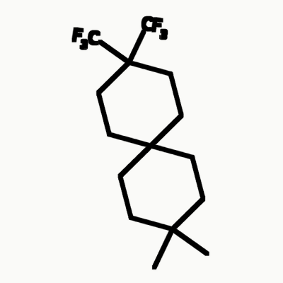 CC1(C)CCC2(CC1)CCC(C(F)(F)F)(C(F)(F)F)CC2